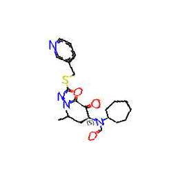 CC(C)C[C@@H](C(=O)c1nnc(SCc2cccnc2)o1)N(C=O)C1CCCCCC1